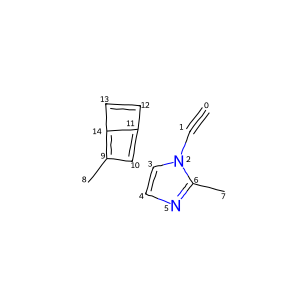 C#Cn1ccnc1C.Cc1cc2ccc1-2